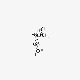 CNCCN(C)Cc1c[nH]nc1[C@H]1CC[C@]2(CCN(Cc3cc(F)cc(F)c3)C2=O)CC1